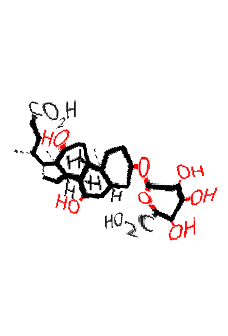 C[C@H](CCC(=O)O)[C@H]1CC[C@H]2[C@@H]3[C@H](O)C[C@@H]4C[C@H](OC5O[C@H](C(=O)O)[C@@H](O)[C@H](O)[C@H]5O)CC[C@]4(C)[C@H]3C[C@H](O)[C@]12C